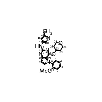 COc1ccccc1-n1ccc2nc(Nc3cc(C)ns3)nc(OC3CCOCC3)c21